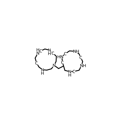 C1CNCCNCC(CN2CCCNCCNCCCNCC2)CNCCNC1